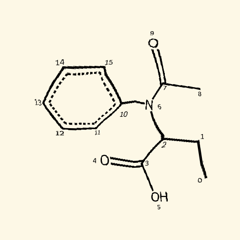 CCC(C(=O)O)N(C(C)=O)c1ccccc1